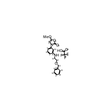 COc1nn(-c2cccc(NCCOCc3ccccc3)c2)c(=O)o1.O=C(O)C(F)(F)F